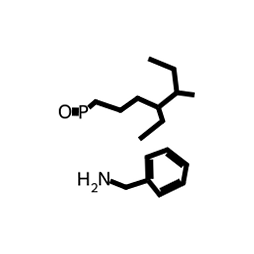 CCC(C)C(CC)CCCP=O.NCc1ccccc1